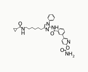 NC(=O)Oc1ccc(-c2cccc(C(=O)Nc3nc(CCCCCCNC(=O)C4CC4)cn3-c3ccccc3)c2)cn1